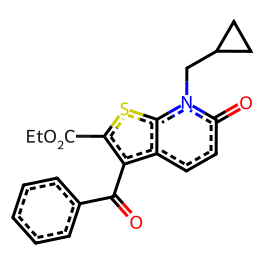 CCOC(=O)c1sc2c(ccc(=O)n2CC2CC2)c1C(=O)c1ccccc1